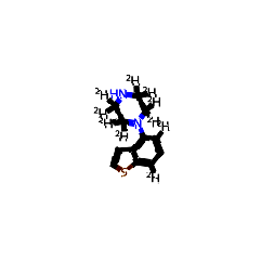 [2H]c1cc([2H])c2sccc2c1N1C([2H])([2H])C([2H])([2H])NC([2H])([2H])C1([2H])[2H]